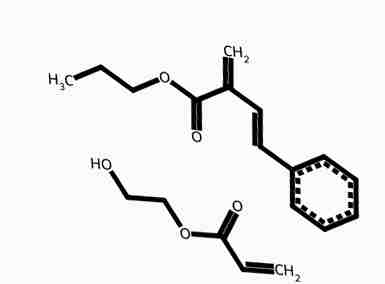 C=C(C=Cc1ccccc1)C(=O)OCCC.C=CC(=O)OCCO